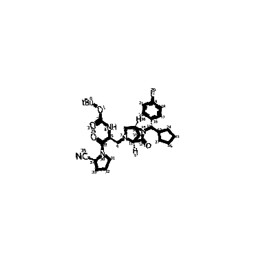 CC(C)(C)OC(=O)N[C@@H](CN1C[C@@H]2C[C@H]1C(=O)N2[C@H](c1ccc(F)cc1)C1CCCC1)C(=O)N1CCC[C@H]1C#N